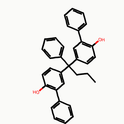 CCCC(c1ccccc1)(c1ccc(O)c(-c2ccccc2)c1)c1ccc(O)c(-c2ccccc2)c1